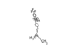 CCCCCN(C)CCSCC1CCC(CNS(=O)(=O)c2ccc(C(F)(F)F)cc2)CC1